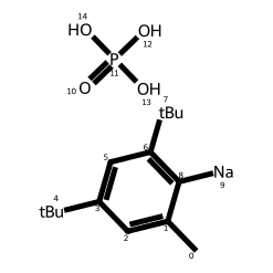 Cc1cc(C(C)(C)C)cc(C(C)(C)C)[c]1[Na].O=P(O)(O)O